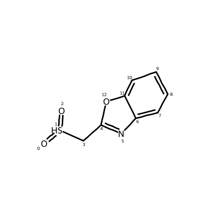 O=[SH](=O)Cc1nc2ccccc2o1